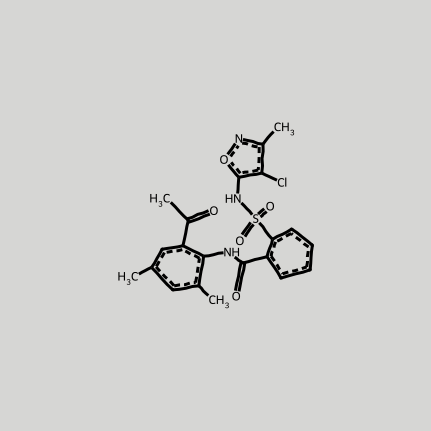 CC(=O)c1cc(C)cc(C)c1NC(=O)c1ccccc1S(=O)(=O)Nc1onc(C)c1Cl